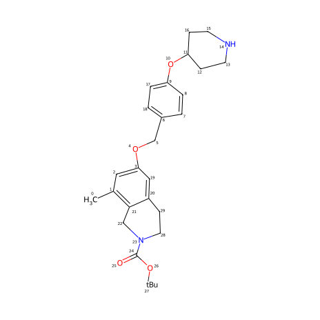 Cc1cc(OCc2ccc(OC3CCNCC3)cc2)cc2c1CN(C(=O)OC(C)(C)C)CC2